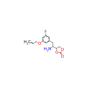 C=CCOc1cc(F)cc(CC(N)C2COC(=O)O2)c1